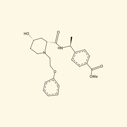 COC(=O)c1ccc([C@H](C)NC(=O)[C@H]2C[C@@H](O)CCN2CCOc2ccccc2)cc1